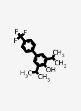 CC(C)c1cc(-c2ccc(C(F)(F)F)cc2)cc(C(C)C)c1O